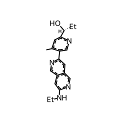 CCNc1cc2cnc(-c3cnc([C@H](O)CC)cc3C)cc2cn1